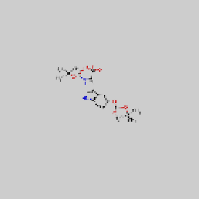 CC(C)(C)OC(=O)N[C@@H](Cc1c[nH]c2ccc(OC(=O)OC(C)(C)C)cc12)C(=O)O